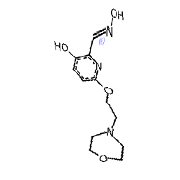 O/N=C/c1nc(OCCN2CCOCC2)ccc1O